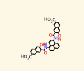 O=C(O)c1ccc2cc(O)c(C(=O)Nc3ccc4cccc5c4c3C=CC5NC(=O)c3cc4cc(C(=O)O)ccc4cc3O)cc2c1